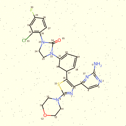 Nc1nccc(-c2nc(N3CCOCC3)sc2C2C=CC=C(N3CCN(c4ccc(F)cc4Cl)C3=O)C2)n1